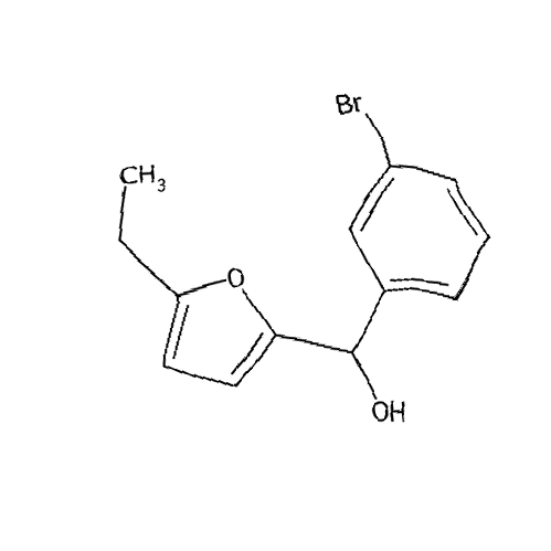 CCc1ccc(C(O)c2cccc(Br)c2)o1